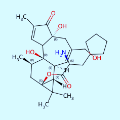 CC1=CC2[C@@]3(O)[C@H](C)C[C@]4(OC(=O)[C@@H](N)CC5CCCC5)[C@H]([C@@H]3C=C(CO)C[C@]2(O)C1=O)C4(C)C